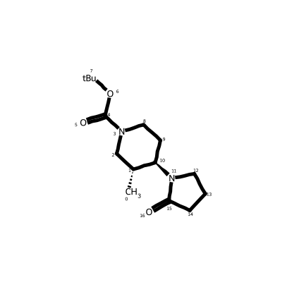 C[C@@H]1CN(C(=O)OC(C)(C)C)CC[C@H]1N1CCCC1=O